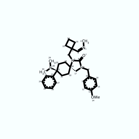 C/N=C\C1(CN2C(=O)N(Cc3ccc(OC)cc3)C[C@]23CC[C@](c2ccccc2)(N(C)C)CC3)CCC1